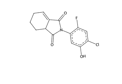 O=C1C2=CCCCC2C(=O)N1c1cc(O)c(Cl)cc1F